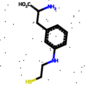 NC(Cc1cccc(NCCS)c1)C(=O)O